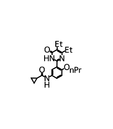 CCCOc1ccc(NC(=O)C2CC2)cc1-c1nc(CC)c(CC)c(=O)[nH]1